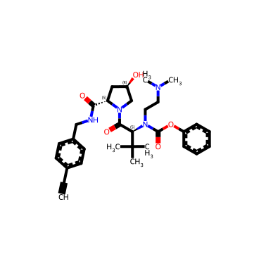 C#Cc1ccc(CNC(=O)[C@@H]2C[C@@H](O)CN2C(=O)[C@@H](N(CCN(C)C)C(=O)Oc2ccccc2)C(C)(C)C)cc1